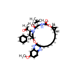 COc1ccc2nc3c(nc2c1)O[C@H]1CN(C(=O)[C@H](C(C)(C)C)NC(=O)O[C@@H]2C[C@H]2CCCCCC3)[C@H](C(C)=O)[C@@H]1c1ccccc1